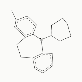 Fc1ccc2c(c1)CCc1ccccc1N2C1CCCCC1